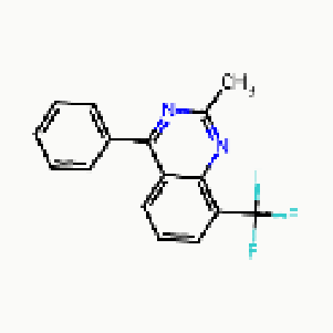 Cc1nc(-c2ccccc2)c2cccc(C(F)(F)F)c2n1